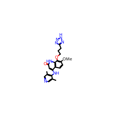 COc1ccc2c(Nc3c(C)cncc3C)cc(=O)[nH]c2c1OCCCc1nn[nH]n1